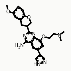 COc1ccc2c(c1)CC(c1nc(N)c3cc(-c4cn[nH]c4)cc(OCCN(C)C)c3n1)CO2